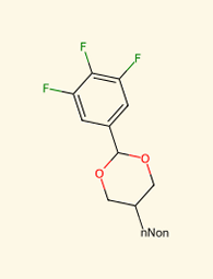 CCCCCCCCCC1COC(c2cc(F)c(F)c(F)c2)OC1